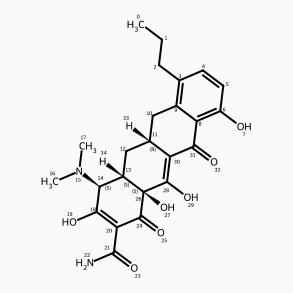 CCCc1ccc(O)c2c1C[C@H]1C[C@H]3[C@H](N(C)C)C(O)=C(C(N)=O)C(=O)[C@@]3(O)C(O)=C1C2=O